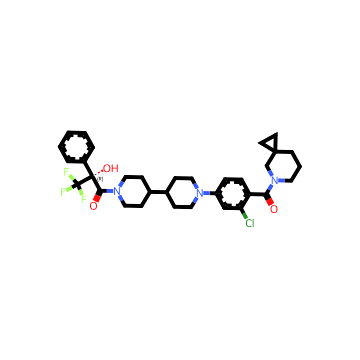 O=C(c1ccc(N2CCC(C3CCN(C(=O)[C@](O)(c4ccccc4)C(F)(F)F)CC3)CC2)cc1Cl)N1CCCC2(CC2)C1